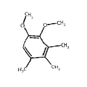 [CH2]c1cc(OC)c(OC)c(C)c1C